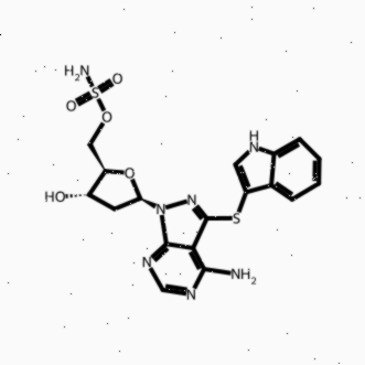 Nc1ncnc2c1c(Sc1c[nH]c3ccccc13)nn2[C@H]1C[C@H](O)[C@@H](COS(N)(=O)=O)O1